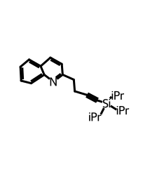 CC(C)[Si](C#CCCc1ccc2ccccc2n1)(C(C)C)C(C)C